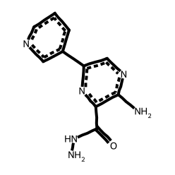 NNC(=O)c1nc(-c2cccnc2)cnc1N